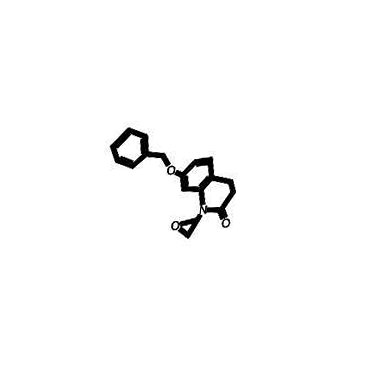 O=C1CCc2ccc(OCc3ccccc3)cc2N1C1CO1